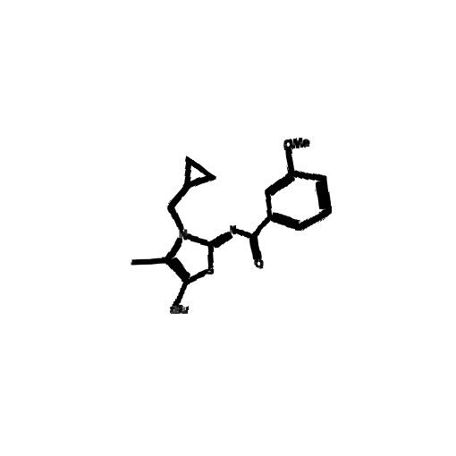 COc1cccc(C(=O)/N=c2\sc(C(C)(C)C)c(C)n2CC2CC2)c1